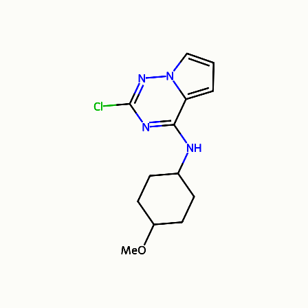 COC1CCC(Nc2nc(Cl)nn3cccc23)CC1